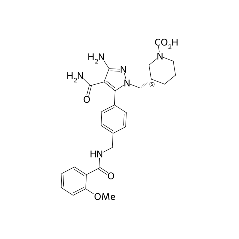 COc1ccccc1C(=O)NCc1ccc(-c2c(C(N)=O)c(N)nn2C[C@H]2CCCN(C(=O)O)C2)cc1